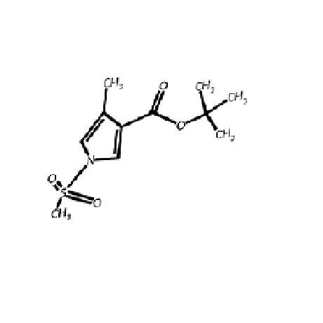 Cc1cn(S(C)(=O)=O)cc1C(=O)OC(C)(C)C